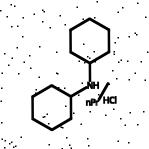 C1CCC(NC2CCCCC2)CC1.CCCC.Cl